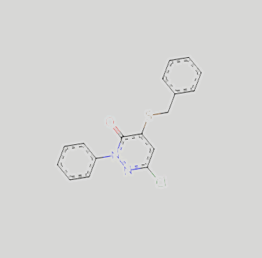 O=c1c(SCc2ccccc2)cc(Cl)nn1-c1ccccc1